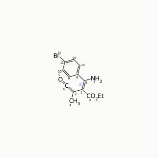 CCOC(=O)/C(C(C)=C=O)=C(\N)c1ccc(Br)cc1